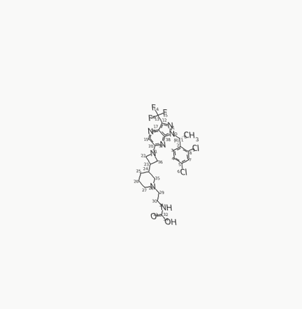 C[C@H](c1ccc(Cl)cc1Cl)n1nc(C(F)(F)F)c2ncc(N3CC(C4CCCN(CCNC(=O)O)C4)C3)nc21